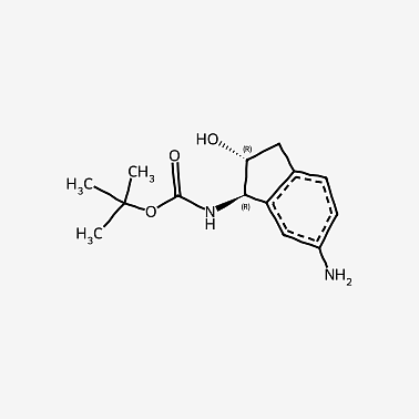 CC(C)(C)OC(=O)N[C@@H]1c2cc(N)ccc2C[C@H]1O